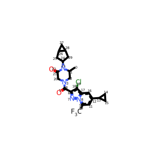 CC1CN(C(=O)c2nn3c(C(F)(F)F)cc(C4CC4)cc3c2Cl)CC(=O)N1C1CC2CC2C1